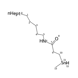 CCCCCCCCCCCCNC(=O)C[CH2][SnH]([CH3])[CH3]